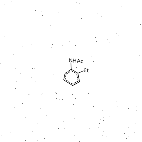 CCc1ccccc1NC(C)=O